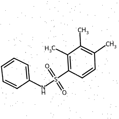 Cc1ccc(S(=O)(=O)Nc2ccccc2)c(C)c1C